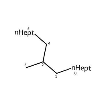 CCCCCCCCC(C)CCCCCCCC